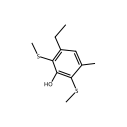 CCc1cc(C)c(SC)c(O)c1SC